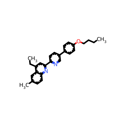 CCCCOc1ccc(-c2ccc(-c3cc(CC)c4cc(C)ccc4n3)nc2)cc1